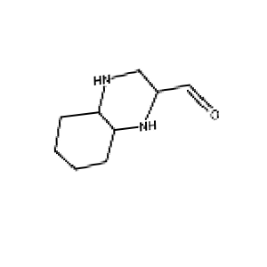 O=CC1CNC2CCCCC2N1